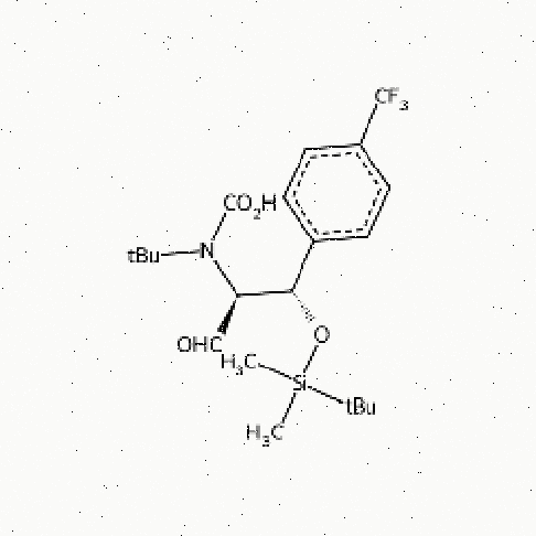 CC(C)(C)N(C(=O)O)[C@H](C=O)[C@@H](O[Si](C)(C)C(C)(C)C)c1ccc(C(F)(F)F)cc1